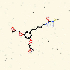 CSNC(=O)NCCCCCc1cc(OCC2CO2)cc(OCC2CO2)c1